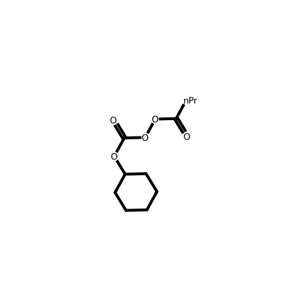 CCCC(=O)OOC(=O)OC1CCCCC1